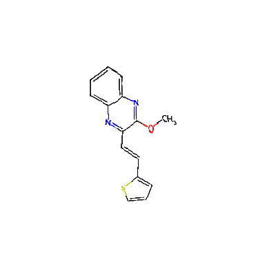 COc1nc2ccccc2nc1/C=C/c1cccs1